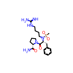 CS(=O)(=O)N(CCCCNC(=N)N)[C@H](Cc1ccccc1)C(=O)N1CCC[C@H]1C(N)=O